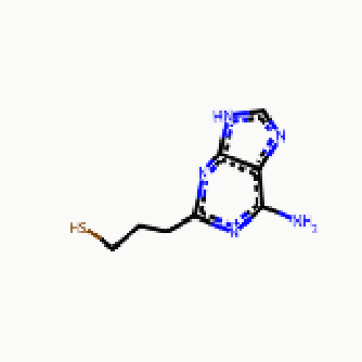 Nc1nc(CCCS)nc2[nH]cnc12